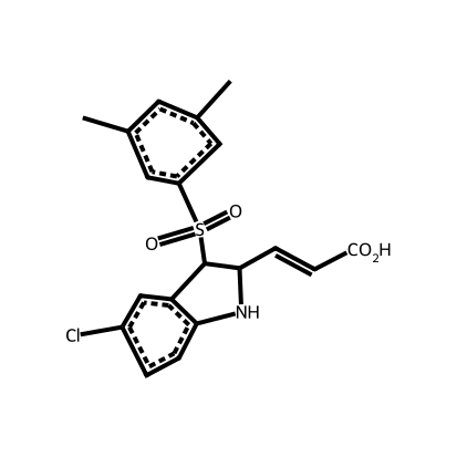 Cc1cc(C)cc(S(=O)(=O)C2c3cc(Cl)ccc3NC2/C=C/C(=O)O)c1